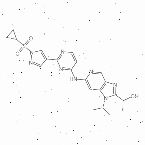 CC(C)n1c([C@@H](C)O)nc2cnc(Nc3ccnc(-c4cnn(S(=O)(=O)C5CC5)c4)n3)cc21